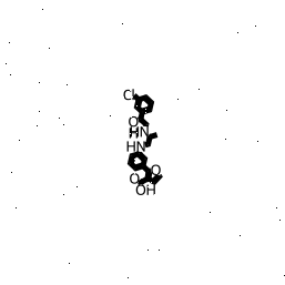 CC(CNc1cccc(-c2occc2C(=O)O)c1)NCC(O)c1cccc(Cl)c1